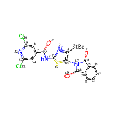 CC(C)(C)c1nc(NC(=O)c2cc(Cl)nc(Cl)c2)sc1N1C(=O)c2ccccc2C1=O